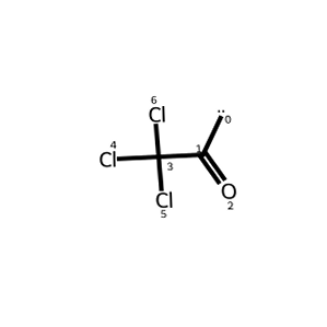 [CH]C(=O)C(Cl)(Cl)Cl